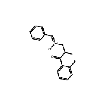 CC(C[N+]([O-])=Cc1ccccc1)C(=O)c1ccccc1F